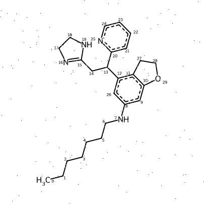 CCCCCCCNc1cc2c(c(C(CC3=NCCN3)c3ccccn3)c1)CCO2